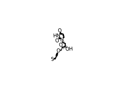 O=c1ccn([C@H]2C[C@H](O)[C@@H](COC#CC=S)O2)c(=O)[nH]1